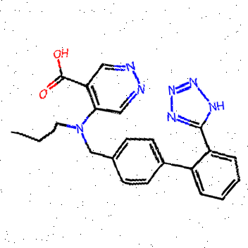 CCCN(Cc1ccc(-c2ccccc2-c2nnn[nH]2)cc1)c1cnncc1C(=O)O